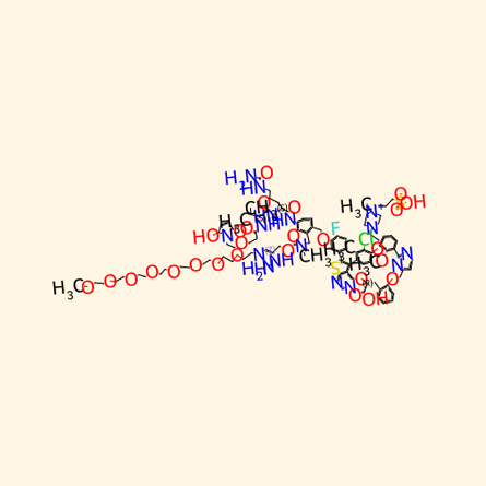 COCCOCCOCCOCCOCCOCCOCCOCCN/C=C(/COC(=O)N(C)Cc1cc(NC(=O)[C@H](CCCNC(N)=O)NC(=O)[C@@H](NC(=O)CCOCCN2C(=O)C=CC2O)C(C)C)ccc1COc1cc(-c2sc3ncnc(O[C@H](Cc4ccccc4OCc4ccnc(-c5ccccc5OC)n4)C(=O)O)c3c2-c2ccc(OCCN3CC[N+](C)(CCCS(=O)(=O)O)CC3)c(Cl)c2C)ccc1F)NN